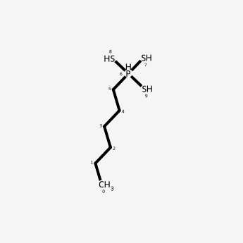 CCCCCC[PH](S)(S)S